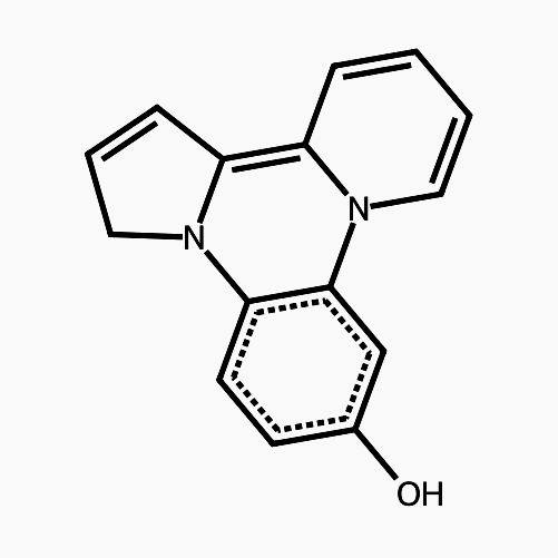 Oc1ccc2c(c1)N1C=CC=CC1=C1C=CCN12